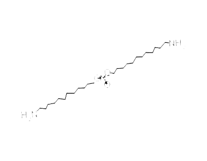 NCCCCCCCCCCCCO[N+](=O)OCCCCCCCCCCCCN